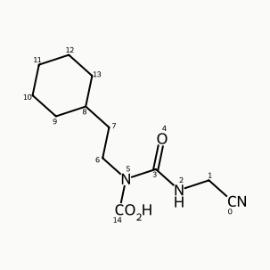 N#CCNC(=O)N(CCC1CCCCC1)C(=O)O